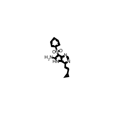 Nc1[nH]c2c(C=CC3CC3)ncnc2c1S(=O)(=O)c1ccccc1